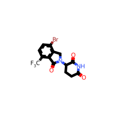 O=C1CCC(N2Cc3c(Br)ccc(C(F)(F)F)c3C2=O)C(=O)N1